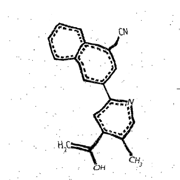 C=C(O)c1cc(-c2cc(C#N)c3ccccc3c2)ncc1C